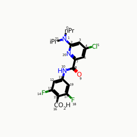 CCCN(c1cc(Cl)cc(C(=O)Nc2cc(F)c(C(=O)O)c(F)c2)n1)C(C)C